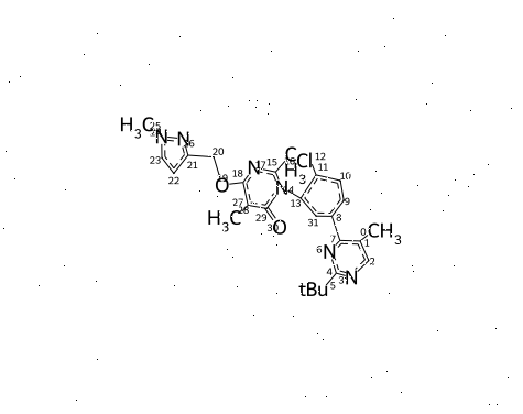 Cc1cnc(C(C)(C)C)nc1-c1ccc(Cl)c(-n2c(C)nc(OCc3ccn(C)n3)c(C)c2=O)c1